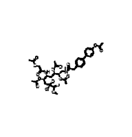 COC(=O)[C@]1(Cl)C[C@H](OC(C)=O)[C@@H](NC(=O)COC(C)=O)[C@H]([C@H](OC(C)=O)[C@@H](CNC(=O)Cc2ccc(-c3ccc(OC(C)=O)cc3)cc2)OC(C)=O)O1